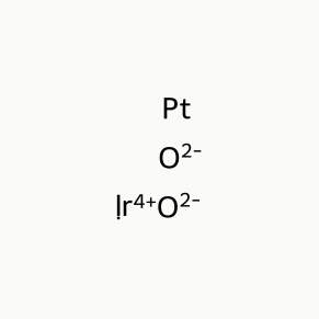 [Ir+4].[O-2].[O-2].[Pt]